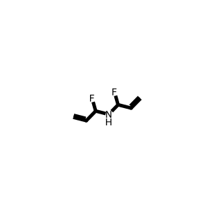 C=CC(F)NC(F)C=C